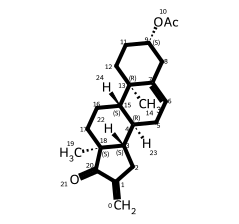 C=C1C[C@H]2[C@@H]3CC=C4C[C@@H](OC(C)=O)CC[C@]4(C)[C@H]3CC[C@]2(C)C1=O